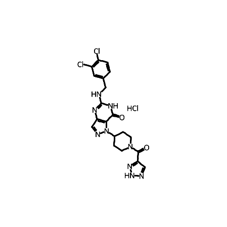 Cl.O=C(c1cn[nH]n1)N1CCC(n2ncc3nc(NCc4ccc(Cl)c(Cl)c4)[nH]c(=O)c32)CC1